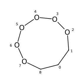 C1COOOOOOC1